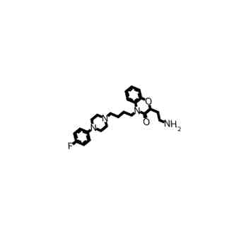 NCCC1Oc2ccccc2N(CCCCN2CCN(c3ccc(F)cc3)CC2)C1=O